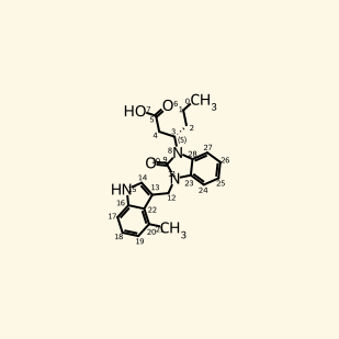 CCC[C@@H](CC(=O)O)n1c(=O)n(Cc2c[nH]c3cccc(C)c23)c2ccccc21